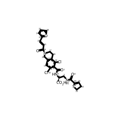 O=C(NC[C@H](NC(=O)c1c(Cl)cc2c(c1Cl)CCN(C(=O)/C=C/c1ccco1)C2)C(=O)O)C1=CCCS1